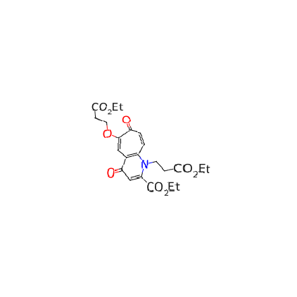 CCOC(=O)CCOc1cc2c(=O)cc(C(=O)OCC)n(CCC(=O)OCC)c2ccc1=O